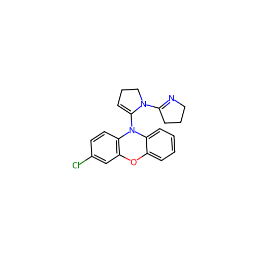 Clc1ccc2c(c1)Oc1ccccc1N2C1=CCCN1C1=NCCC1